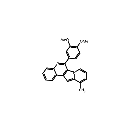 COc1ccc(-c2nc3ccccc3c3cc4c(C)cccn4c23)cc1OC